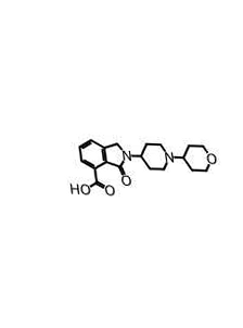 O=C(O)c1cccc2c1C(=O)N(C1CCN(C3CCOCC3)CC1)C2